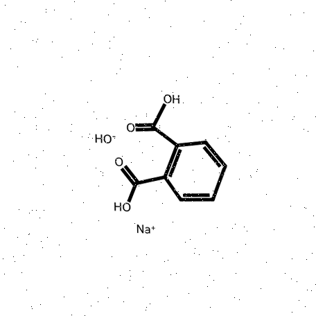 O=C(O)c1[c]cccc1C(=O)O.[Na+].[OH-]